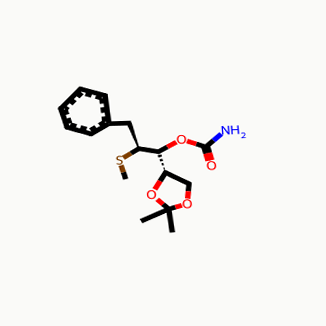 CS[C@@H](Cc1ccccc1)C(OC(N)=O)[C@@H]1COC(C)(C)O1